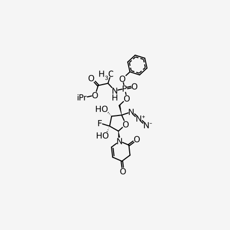 CC(C)OC(=O)C(C)NP(=O)(OC[C@@]1(N=[N+]=[N-])O[C@@H](N2C=CC(=O)CC2=O)[C@@](O)(F)[C@@H]1O)Oc1ccccc1